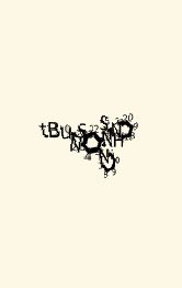 CC(C)(C)c1nc2cc(N3CCCCC3)c(NC(=S)N3CCCCC3)cc2s1